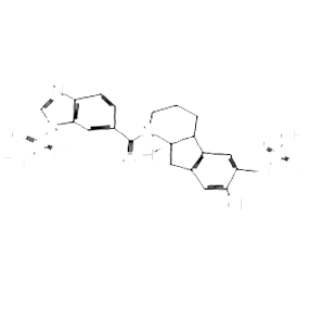 Cc1cc2c(cc1OS(=O)(=O)C(F)(F)F)C1CCCN(C(=O)c3ccc4ncn(S(=O)(=O)C(F)(F)F)c4c3)[C@H]1C2